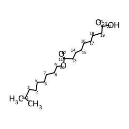 CC(C)CCCCCCCOC(=O)CCCCCCCC(=O)O